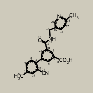 Cc1ccc(-c2cc(C(=O)O)cc(C(=O)NCc3ccc(C)nc3)c2)c(C#N)c1